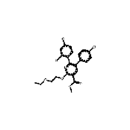 CCOCCOc1nc(-c2ccc(Cl)cc2Cl)c(-c2ccc(Cl)cc2)cc1C(=O)OC